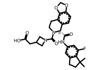 CC1(C)CCc2cc(NC(=O)[C@H]3c4ccc5c(c4CCN3C(=O)N3CC(CC(=O)O)C3)OCO5)cc(F)c21